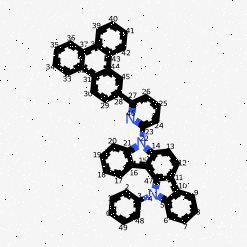 c1ccc(-n2c3ccccc3c3ccc4c(c5ccccc5n4-c4cccc(-c5ccc6c7ccccc7c7ccccc7c6c5)n4)c32)cc1